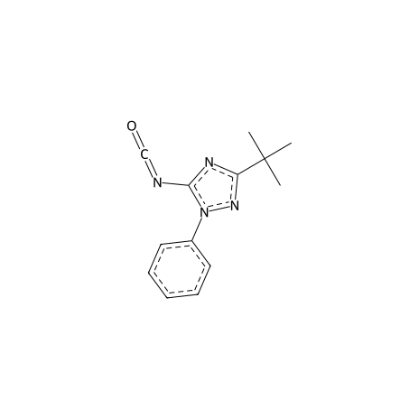 CC(C)(C)c1nc(N=C=O)n(-c2ccccc2)n1